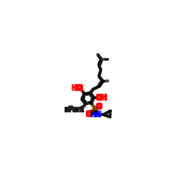 CCCCCc1cc(O)c(CC=C(C)CCC=C(C)C)c(O)c1S(=O)(=O)NC1CC1